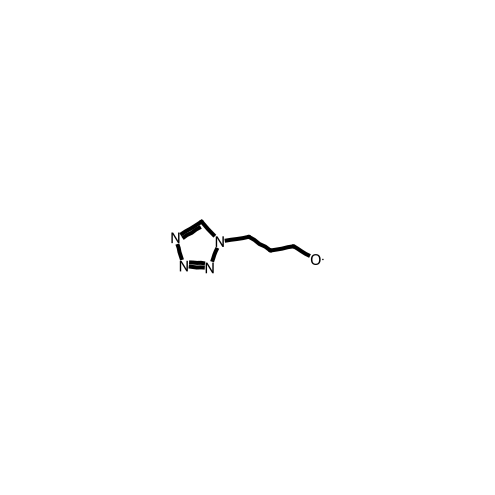 [O]CCCn1cnnn1